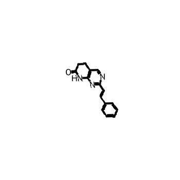 O=C1CCc2cnc(C=Cc3ccccc3)nc2N1